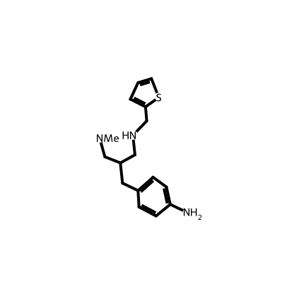 CNCC(CNCc1cccs1)Cc1ccc(N)cc1